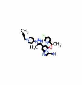 CC#CCN1CCC(n2nnc(-c3cc(O[C@H](C)c4ccc(F)cn4)n4c(C#N)cnc4c3)c2C)CC1